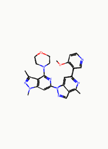 COc1ccncc1-c1cc2c(cnn2-c2cc3c(c(C)nn3C)c(N3CCOCC3)n2)c(C)n1